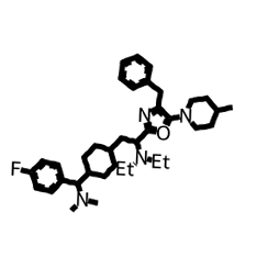 CCN(CC)C(CC1CCC(C(c2ccc(F)cc2)N(C)C)CC1)c1nc(Cc2ccccc2)c(N2CCC(C)CC2)o1